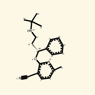 Cc1ccc(C#N)c(O[C@H](CCNC(C)(C)C)c2ccccc2)n1